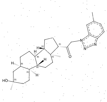 Cc1ccc2nnn(CC(=O)[C@H]3CC[C@H]4[C@@H]5CC[C@@H]6C[C@](C)(O)CC[C@@H]6[C@H]5CC[C@]34C)c2c1